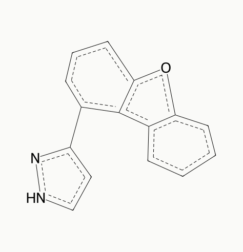 c1ccc2c(c1)oc1cccc(-c3cc[nH]n3)c12